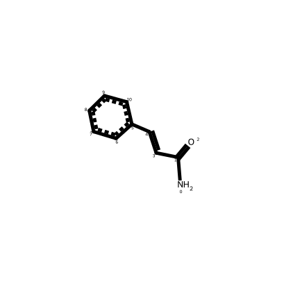 NC(=O)C=Cc1c[c]ccc1